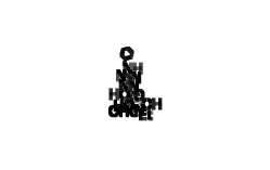 CCN(C=O)C(O)[C@H]1O[C@@H](n2cnc3c(NCc4ccccc4)ncnc32)[C@H](O)[C@@H]1O